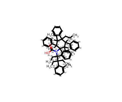 CCCC1(c2ccccc2)C(C)(CC)C(C)(c2ccccc2)C(CC)(N(C(=O)O)C(CC)(c2ccccc2)C(CC)(CC)c2ccccc2C)C(C)(CC)C1(C)c1ccccc1